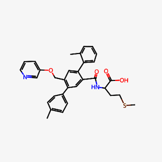 CSCCC(NC(=O)c1cc(-c2ccc(C)cc2)c(COc2cccnc2)cc1-c1ccccc1C)C(=O)O